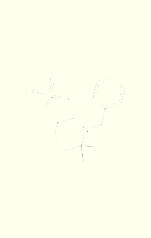 CCS(=O)(=O)OC1CN(Cc2ccccc2)C(C)(C)CO1